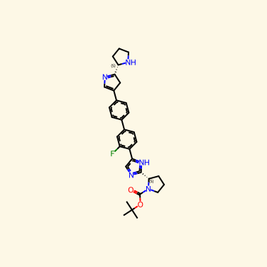 CC(C)(C)OC(=O)N1CCC[C@H]1c1ncc(-c2ccc(-c3ccc(C4=CN=C([C@@H]5CCCN5)C4)cc3)cc2F)[nH]1